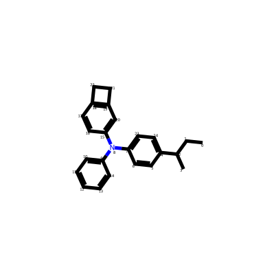 CCC(C)c1ccc(N(c2ccccc2)c2ccc3c(c2)CC3)cc1